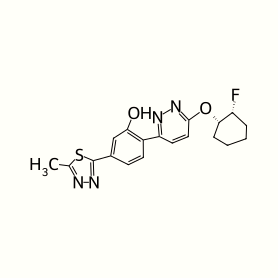 Cc1nnc(-c2ccc(-c3ccc(O[C@H]4CCCC[C@H]4F)nn3)c(O)c2)s1